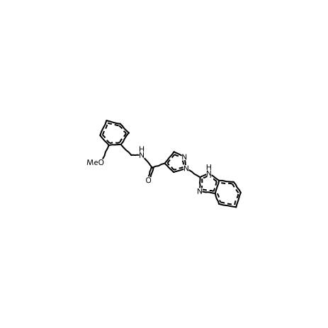 COc1ccccc1CNC(=O)c1cnn(-c2nc3ccccc3[nH]2)c1